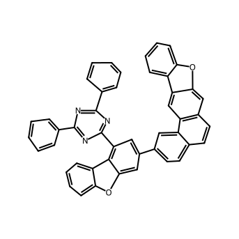 c1ccc(-c2nc(-c3ccccc3)nc(-c3cc(-c4ccc5ccc6cc7oc8ccccc8c7cc6c5c4)cc4oc5ccccc5c34)n2)cc1